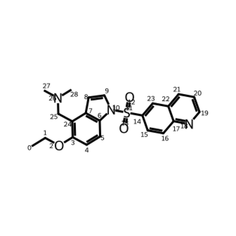 CCOc1ccc2c(ccn2S(=O)(=O)c2ccc3ncccc3c2)c1CN(C)C